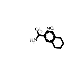 CC(N)c1ccc2c(c1)CCCC2.Cl